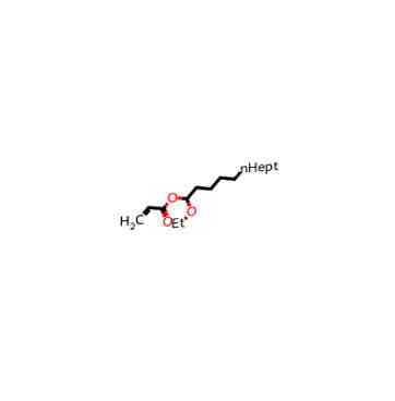 C=CC(=O)OC(CCCCCCCCCCC)OCC